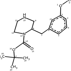 COc1cccc(CC2CNCCN2C(=O)OC(C)(C)C)c1